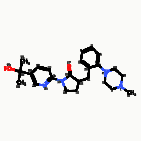 CN1CCN(c2ccccc2CC2CCN(c3ccc(C(C)(C)O)cn3)C2=O)CC1